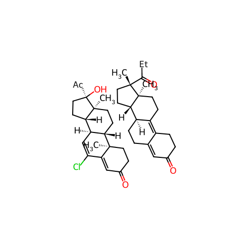 CC(=O)[C@@]1(O)CC[C@H]2[C@@H]3C=C(Cl)C4=CC(=O)CC[C@]4(C)[C@H]3CC[C@@]21C.CCC(=O)[C@@]1(C)CC[C@H]2[C@@H]3CCC4=CC(=O)CCC4=C3CC[C@@]21C